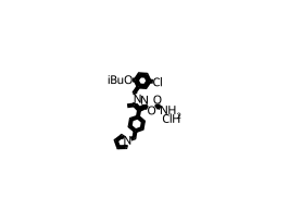 Cc1c(C2CCC(CN3CCCC3)CC2)c(OC(N)=O)nn1Cc1cc(Cl)ccc1OCC(C)C.Cl